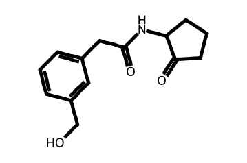 O=C(Cc1cccc(CO)c1)NC1CCCC1=O